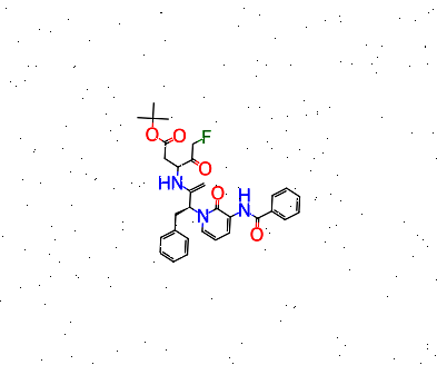 C=C(NC(CC(=O)OC(C)(C)C)C(=O)CF)[C@H](Cc1ccccc1)n1cccc(NC(=O)c2ccccc2)c1=O